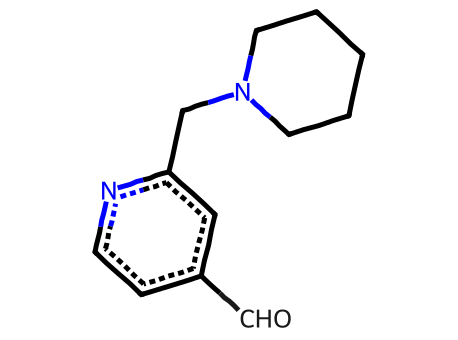 O=Cc1ccnc(CN2CCCCC2)c1